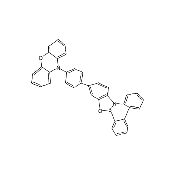 c1ccc2c(c1)Oc1ccccc1N2c1ccc(-c2ccc3c(c2)OB2c4ccccc4-c4ccccc4N23)cc1